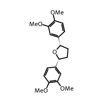 COc1ccc([C@@H]2CC[C@H](c3ccc(OC)c(OC)c3)O2)cc1OC